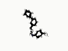 CCc1ccc(/[C]=N\OCc2cccc(-c3ccccc3)c2)cc1